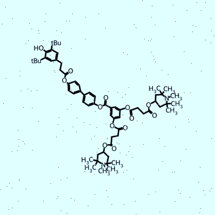 CN1C(C)(C)CC(OC(=O)CCC(=O)Oc2cc(OC(=O)CCC(=O)OC3CC(C)(C)N(C)C(C)(C)C3)cc(C(=O)Oc3ccc(-c4ccc(OC(=O)CCc5cc(C(C)(C)C)c(O)c(C(C)(C)C)c5)cc4)cc3)c2)CC1(C)C